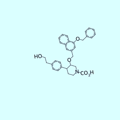 O=C(O)N1CCC(c2ccc(CCO)cc2)C(OCc2cc(OCc3ccccc3)c3ccccc3c2)C1